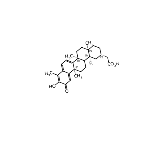 CC1=C(O)C(=O)C=C2C1=CC=C1[C@@]2(C)CCC2[C@@H]3C[C@@H](CC(=O)O)CC[C@]3(C)CC[C@]12C